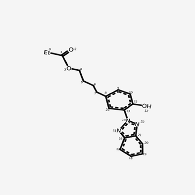 CCC(=O)OCCCCc1ccc(O)c(-n2nc3ccccc3n2)c1